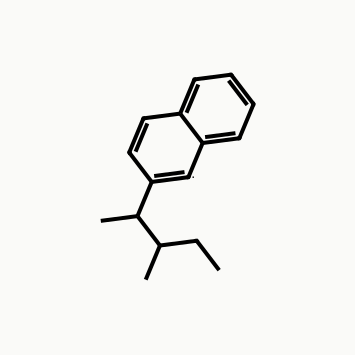 CCC(C)C(C)c1[c]c2ccccc2cc1